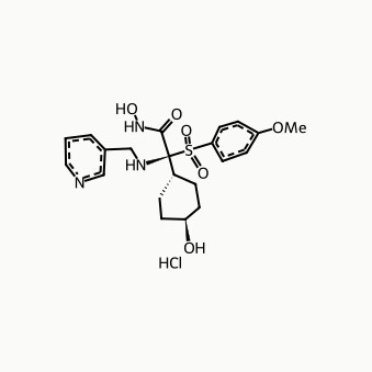 COc1ccc(S(=O)(=O)[C@@](NCc2cccnc2)(C(=O)NO)[C@H]2CC[C@H](O)CC2)cc1.Cl